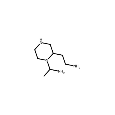 CC(N)N1CCNCC1CCN